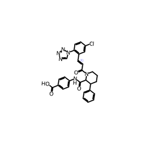 O=C(O)c1ccc(NC(=O)C2C(c3ccccc3)CCCN2C(=O)/C=C/c2cc(Cl)ccc2-n2cnnn2)cc1